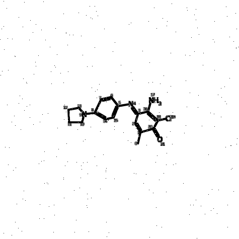 CC1=CC(=Nc2ccc(N3CCCC3)cc2)C(N)=C(Cl)C1=O